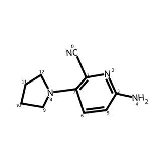 N#Cc1nc(N)ccc1N1CCCC1